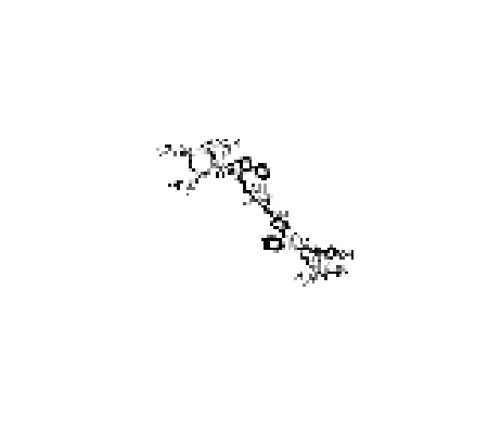 CCNC(=O)/N=C(/N)NCCC[C@@H](NC(=O)[C@@H](c1ccccc1)c1ccc(NCCCNC(=O)[C@H](N)CCCNC(=O)[C@@H](Cc2ccc(-c3ccccc3)cc2)NC(C=O)N2CCN(CC(=O)O)CCN(CC(=O)O)CCN(CC(=O)O)CC2)cc1)C(=O)NCc1ccc(O)cc1